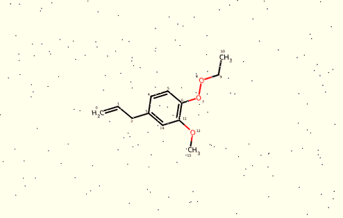 C=CCc1ccc(OOCC)c(OC)c1